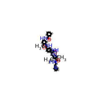 Cc1ccc(NC(=O)c2ccccc2)cc1NC(=O)c1ccc2c(c1)NC(=O)/C2=C\c1[nH]c(C)c(C(=O)NCCN2CCCC2)c1C